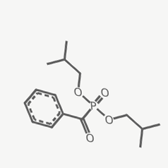 CC(C)COP(=O)(OCC(C)C)C(=O)c1ccccc1